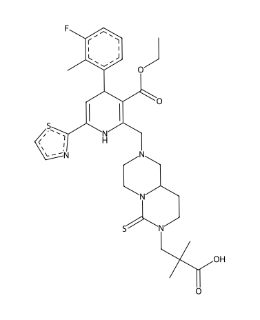 CCOC(=O)C1=C(CN2CCN3C(=S)N(CC(C)(C)C(=O)O)CCC3C2)NC(c2nccs2)=CC1c1cccc(F)c1C